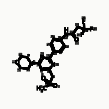 CS(=O)(=O)Cc1cc(N2CCOCC2)nc(-c2ccc(NC(=O)CC(F)(F)F)cc2)n1